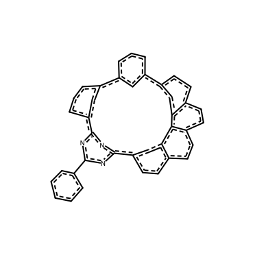 c1ccc(-c2nc3nc(n2)c2ccc4ccc5ccc6ccc(cc6c5c4c2)c2cccc(c2)c2cccc3c2)cc1